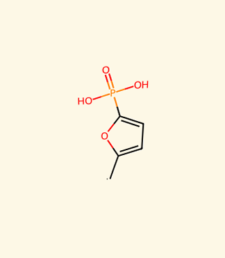 [CH2]c1ccc(P(=O)(O)O)o1